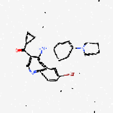 O=C(c1cnc2ccc(Br)cc2c1N[C@H]1CC[C@H](N2CCCC2)CC1)C1CC1